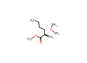 C=C(CCCC)C(=O)OC.[SiH3]O[SiH3]